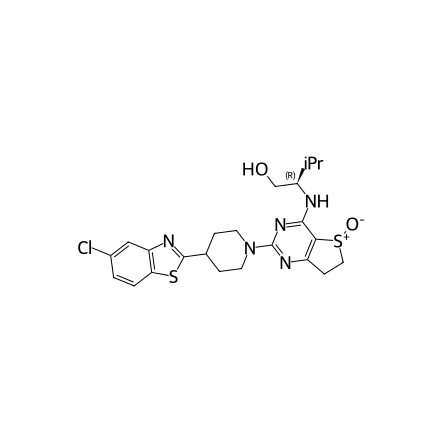 CC(C)[C@H](CO)Nc1nc(N2CCC(c3nc4cc(Cl)ccc4s3)CC2)nc2c1[S+]([O-])CC2